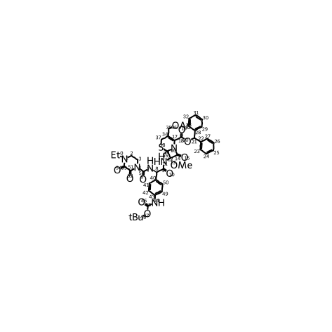 CCN1CCN(C(=O)N[C@@H](C(=O)N[C@]2(OC)C(=O)N3C(C(=O)OC(c4ccccc4)c4ccccc4)=C(COC(C)=O)CS[C@H]32)c2ccc(NC(=O)OC(C)(C)C)cc2)C(=O)C1=O